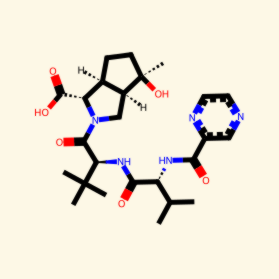 CC(C)[C@@H](NC(=O)c1cnccn1)C(=O)N[C@H](C(=O)N1C[C@H]2[C@H](CC[C@@]2(C)O)[C@H]1C(=O)O)C(C)(C)C